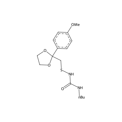 CCCCNC(=O)NSCC1(c2ccc(OC)cc2)OCCO1